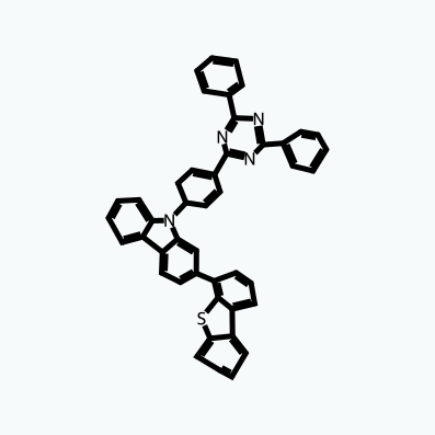 C1=CC(n2c3ccccc3c3ccc(-c4cccc5c4sc4ccccc45)cc32)CC=C1c1nc(-c2ccccc2)nc(-c2ccccc2)n1